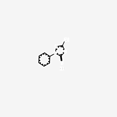 S=c1sc(S)nn1-c1ccccc1.[KH]